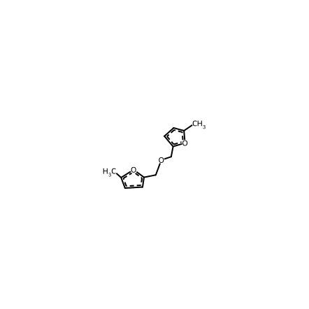 Cc1ccc(COCc2ccc(C)o2)o1